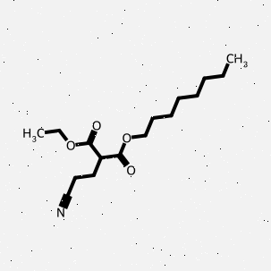 CCCCCCCCOC(=O)C(CCC#N)C(=O)OCC